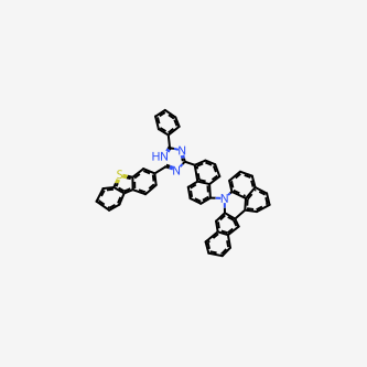 N=C(/N=C(\N=C\c1ccc2c(c1)sc1ccccc12)c1cccc2c(N3c4cc5ccccc5cc4-c4cccc5cccc3c45)cccc12)c1ccccc1